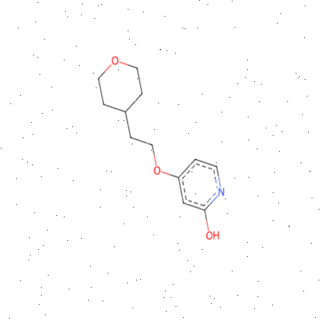 Oc1cc(OCCC2CCOCC2)ccn1